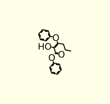 CCCC(Oc1ccccc1)=C(O)C(=O)Oc1ccccc1